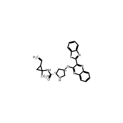 C=CC1CC1(NC(=O)[C@@H]1C[C@@H](Oc2nc3ccccc3nc2-c2nc3ccccc3s2)CN1)C(=O)O